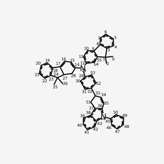 CC1(C)c2ccccc2-c2ccc(N(C3=CC=C4c5ccccc5C(C)(C)C4C3)c3ccc(C4C=Cc5c(c6ccccc6n5-c5ccccc5)C4)cc3)cc21